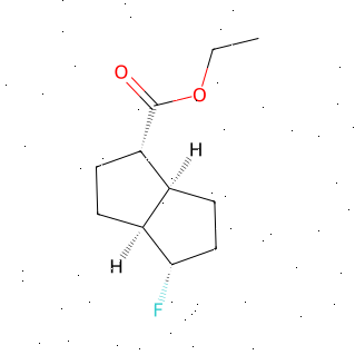 CCOC(=O)[C@H]1CC[C@H]2[C@@H]1CC[C@@H]2F